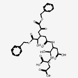 O=C(O)CC(NC(=O)CC(CC(=O)C(=O)OCc1ccccc1)C(O)C(=O)OCc1ccccc1)C(O)N[C@@H](CC(=O)O)C(=O)O